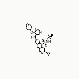 CC(C)(F)CNS(=O)(=O)c1c2c(cc3cnc(C4CC4)cc13)C[C@@H](Nc1cncnc1OC1CCOCC1)C2